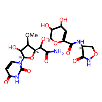 COC1C(O)[C@H](n2ccc(=O)[nH]c2=O)O[C@@H]1C(O[C@H]1OC(C(=O)N[C@@H]2CONC2=O)=CC(O)C1O)C(N)=O